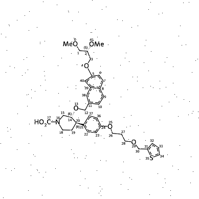 COC[C@@H](COc1ccc2ccc(CO[C@H]3CN(C(=O)O)CC[C@@H]3c3ccc(OCCCOCc4cccs4)cc3)cc2c1)OC